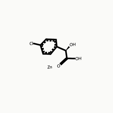 O=C(O)[C@H](O)c1ccc(Cl)cc1.[Zn]